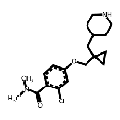 CN(C)C(=O)c1ccc(OCC2(CC3CCNCC3)CC2)cc1Cl